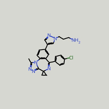 Cc1nnc2n1-c1ccc(-c3cnn(CCCN)c3)cc1C(c1ccc(Cl)cc1)=NC21CC1